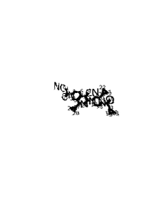 N#CCC(=O)N1CCc2c(C#N)c(N3CCN(C(=O)C4CC4)C(C4CC4)C3)nc(C3CC3)c2C1